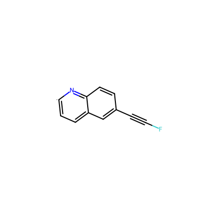 FC#Cc1ccc2n[c]ccc2c1